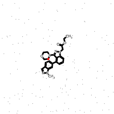 CCOC(=O)Cn1nc(N2CCOCC2)c2c(-c3cc4c(cnn4C)cc3F)cccc21